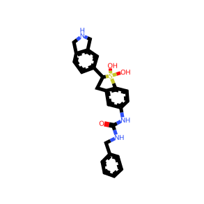 O=C(NCc1ccccc1)Nc1ccc2c(c1)CC(c1ccc3c(c1)CNC3)S2(O)O